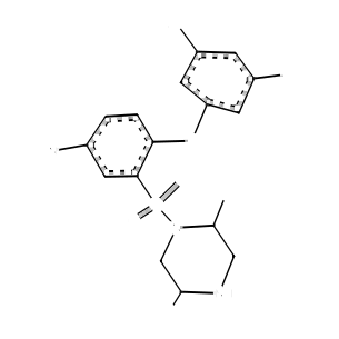 Cc1cc(C)cc(Oc2ccc([N+](=O)[O-])cc2S(=O)(=O)N2CC(C)NCC2C)c1